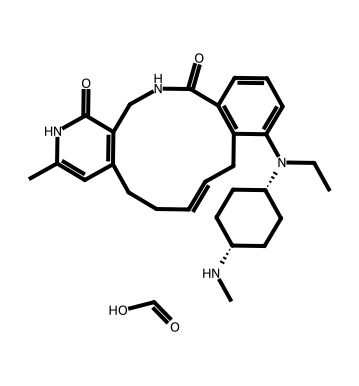 CCN(c1cccc2c1C/C=C/CCc1cc(C)[nH]c(=O)c1CNC2=O)[C@H]1CC[C@@H](NC)CC1.O=CO